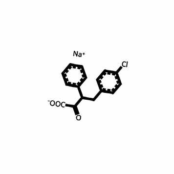 O=C([O-])C(=O)C(Cc1ccc(Cl)cc1)c1ccccc1.[Na+]